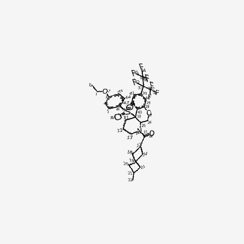 CCOc1ccc(S(=O)(=O)C23CCCN(C(=O)C4CC5(CC(C)C5)C4)C2COc2cc(C(F)(C(F)(F)F)C(F)(F)F)ccc23)cc1